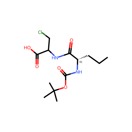 CCC[C@H](NC(=O)OC(C)(C)C)C(=O)NC(CCl)C(=O)O